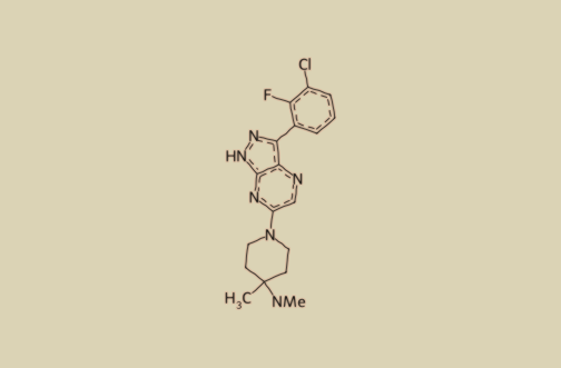 CNC1(C)CCN(c2cnc3c(-c4cccc(Cl)c4F)n[nH]c3n2)CC1